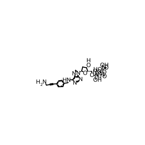 NCC#Cc1ccc(CNc2ncnc3c2ncn3[C@H]2C[C@@H](O)[C@@H](COP(=O)(O)OP(=O)(O)OP(=O)(O)O)O2)cc1